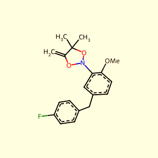 C=C1ON(c2cc(Cc3ccc(F)cc3)ccc2OC)OC1(C)C